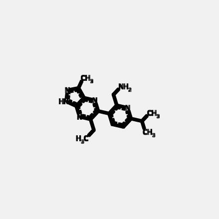 CCc1nc2[nH]nc(C)c2nc1-c1ccc(C(C)C)nc1CN